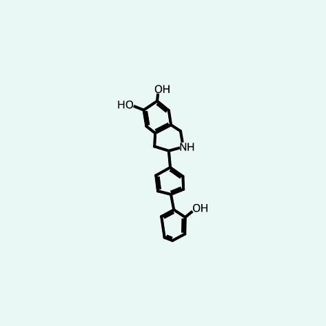 Oc1cc2c(cc1O)CC(c1ccc(-c3ccccc3O)cc1)NC2